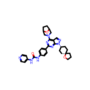 O=C(Nc1ccncc1)Nc1ccc(-c2nc(N3CC4CCC(C3)O4)c3cnn([C@H]4CC[C@@]5(CCCO5)CC4)c3n2)cc1